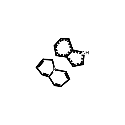 C1=CCN2C=CC=CC2=C1.c1ccc2[nH]ccc2c1